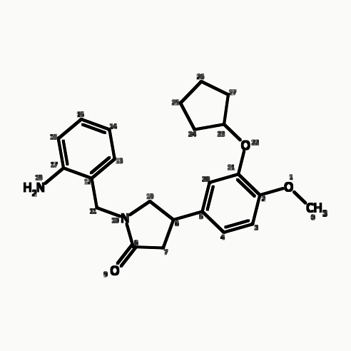 COc1ccc(C2CC(=O)N(Cc3ccccc3N)C2)cc1OC1CCCC1